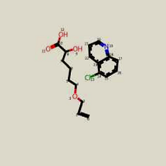 C=CCOCCCCC(O)C(=O)O.Clc1cccc2ncccc12